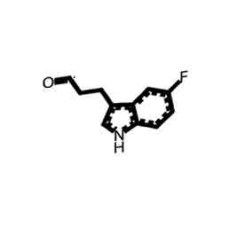 O=[C]CCc1c[nH]c2ccc(F)cc12